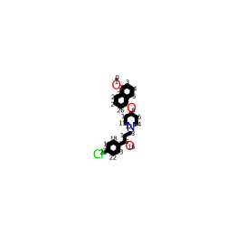 COc1cccc2c(OC3CCN(CCC(=O)c4ccc(Cl)cc4)CC3)cccc12